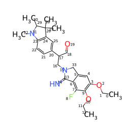 CCOc1cc2c(c(F)c1OCC)C(=N)N(CC(C=O)c1ccc3c(c1)C(C)(C)C(C)N3C)C2